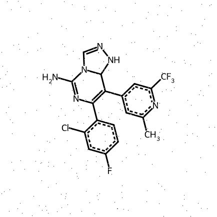 Cc1cc(C2=C(c3ccc(F)cc3Cl)N=C(N)N3C=NNC23)cc(C(F)(F)F)n1